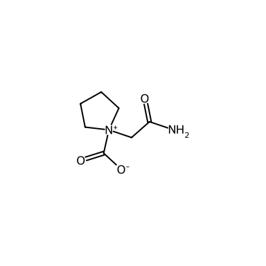 NC(=O)C[N+]1(C(=O)[O-])CCCC1